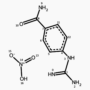 N=C(N)Nc1ccc(C(N)=O)cc1.O=[N+]([O-])O